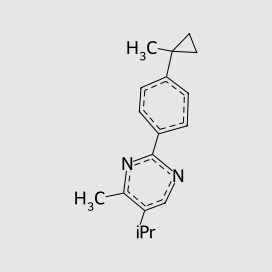 Cc1nc(-c2ccc(C3(C)CC3)cc2)ncc1C(C)C